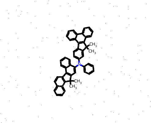 CC1(C)c2cc(N(c3ccccc3)c3ccc4c(c3)C(C)(C)c3c-4c4ccccc4c4ccccc34)c3ccccc3c2-c2ccc3ccccc3c21